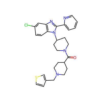 O=C(C1CCN(Cc2ccsc2)CC1)N1CCC(n2c(-c3ccccn3)nc3cc(Cl)ccc32)CC1